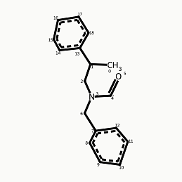 CC(CN([C]=O)Cc1ccccc1)c1ccccc1